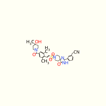 Cc1cc(C(=O)N2CCC(C)(O)CC2)cc(C)c1/C=C/S(=O)(=O)N1CCC2(CC1)N=C(c1cccc(CC#N)c1)NC2=O